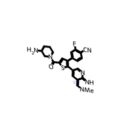 CN/C=C1/C=C(c2sc(C(=O)N3CCCC(N)C3)cc2-c2ccc(C#N)c(F)c2)C=NC1=N